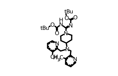 Cc1cccnc1CN(Cc1ncccc1C)C1CCN(C(=NC(=O)OC(C)(C)C)NC(=O)OC(C)(C)C)CC1